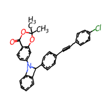 CC1(C)OC(=O)c2ccc(N3c4ccccc4C3c3ccc(C#Cc4ccc(Cl)cc4)cc3)cc2O1